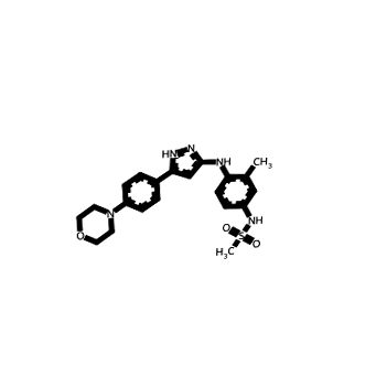 Cc1cc(NS(C)(=O)=O)ccc1Nc1cc(-c2ccc(N3CCOCC3)cc2)[nH]n1